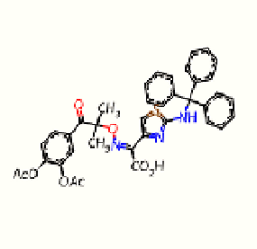 CC(=O)Oc1ccc(C(=O)C(C)(C)ON=C(C(=O)O)c2csc(NC(c3ccccc3)(c3ccccc3)c3ccccc3)n2)cc1OC(C)=O